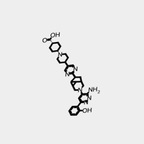 Nc1nnc(-c2ccccc2O)cc1N1CC2CC(c3ncc(C4CCN([C@H]5CC[C@@H](C(=O)O)CC5)CC4)cn3)C3C(C1)C23